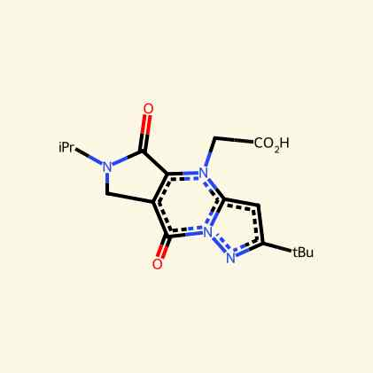 CC(C)N1Cc2c(n(CC(=O)O)c3cc(C(C)(C)C)nn3c2=O)C1=O